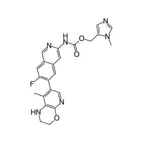 Cc1c(-c2cc3cc(NC(=O)OCc4cncn4C)ncc3cc2F)cnc2c1NCCO2